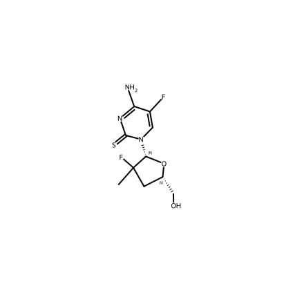 CC1(F)C[C@@H](CO)O[C@H]1n1cc(F)c(N)nc1=S